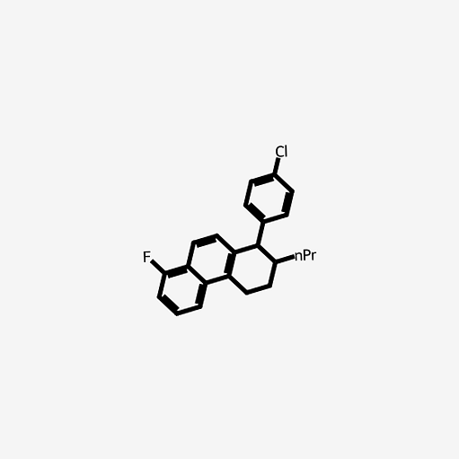 CCCC1CCc2c(ccc3c(F)cccc23)C1c1ccc(Cl)cc1